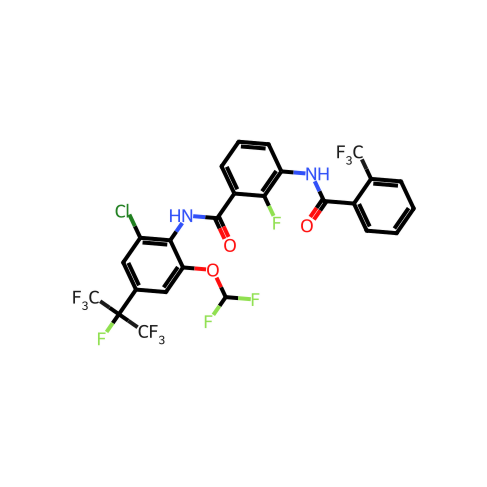 O=C(Nc1cccc(C(=O)Nc2c(Cl)cc(C(F)(C(F)(F)F)C(F)(F)F)cc2OC(F)F)c1F)c1ccccc1C(F)(F)F